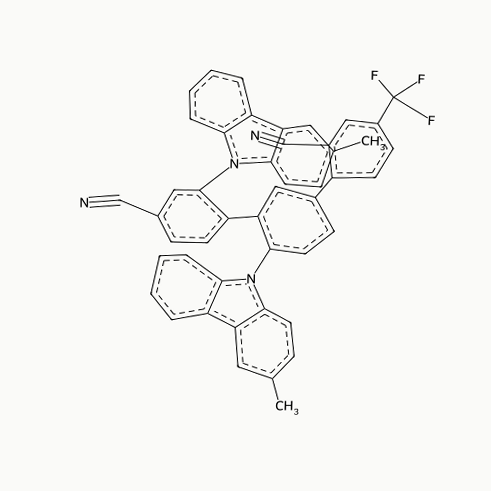 Cc1ccc2c(c1)c1ccccc1n2-c1ccc(-c2ccc(C(F)(F)F)cc2C#N)cc1-c1ccc(C#N)cc1-n1c2ccccc2c2cc(C)ccc21